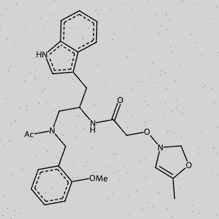 COc1ccccc1CN(CC(Cc1c[nH]c2ccccc12)NC(=O)CON1C=C(C)OC1)C(C)=O